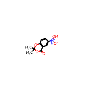 CC1(C)OC(=O)c2cc([NH+]([O-])O)ccc2O1